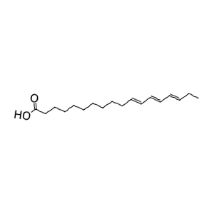 CC/C=C/C=C/C=C/CCCCCCCCCC(=O)O